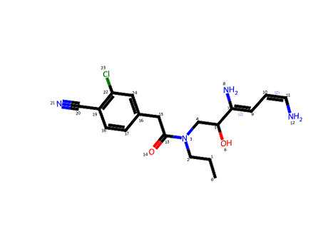 CCCN(CC(O)/C(N)=C/C=C\N)C(=O)Cc1ccc(C#N)c(Cl)c1